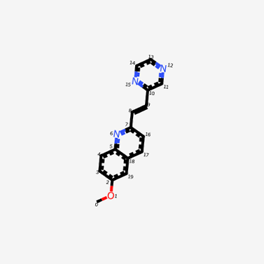 COc1ccc2nc(/C=C/c3cnccn3)ccc2c1